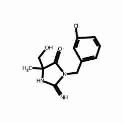 CC1(CO)NC(=N)N(Cc2cccc(Cl)c2)C1=O